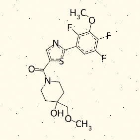 COCC1(O)CCN(C(=O)c2cnc(-c3cc(F)c(F)c(OC)c3F)s2)CC1